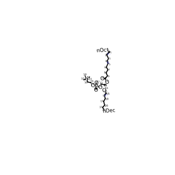 CCCCCCCC/C=C/C/C=C/CCCCC(=O)O[C@H](CO/C=C/CCCCCCCCCCCCCC)COP(=O)([O-])OCC[N+](C)(C)C